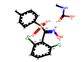 CNC(=O)O.Cc1ccc(S(=O)(=O)/C(=N/O)c2c(Cl)cccc2Cl)cc1